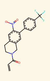 C=CC(=O)N1CCc2cc([N+](=O)[O-])c(-c3ccc(C(F)(F)F)cc3)cc2C1